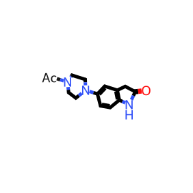 CC(=O)N1CCN(c2ccc3c(c2)CC(=O)N3)CC1